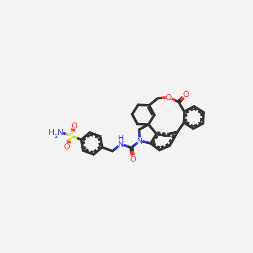 NS(=O)(=O)c1ccc(CNC(=O)N2CC34C=C(CCC3)COC(=O)c3ccccc3-c3ccc2c4c3)cc1